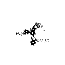 CCOC(=O)Cc1ccccc1OCc1cc(-c2cccc(CN)c2)c2oc(CN(C)C)cc2c1